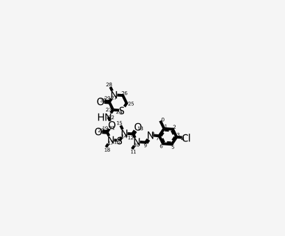 Cc1cc(Cl)ccc1N=CN(C)C(=O)N(C)SN(C)C(=O)ONC1SCCN(C)C1=O